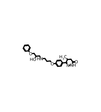 CC1CC(=O)NN=C1c1ccc(OCCCNCC(O)COc2ccccc2)cc1